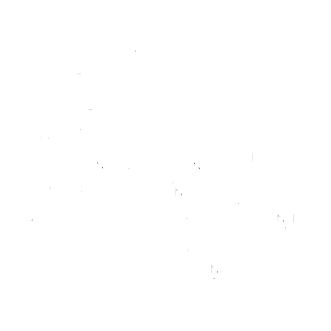 Cc1ccccc1-n1c(Cn2nc(I)c3c(N)cncc32)cc2cccc(C)c2c1=O